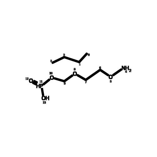 CCCC.NOCCOCO[PH](=O)O